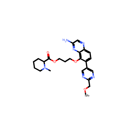 CCCOCc1ncc(-c2ccc3ncc(N)nc3c2OCCCOC(=O)C2CCCCN2C)cn1